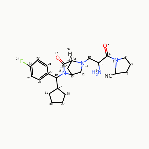 N#CC1CCCN1C(=O)C(N)CN1CC2C[C@H]1C(=O)N2C(c1ccc(F)cc1)C1CCCC1